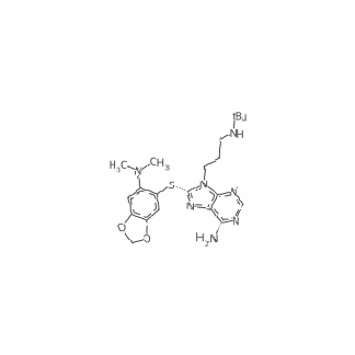 CN(C)c1cc2c(cc1Sc1nc3c(N)ncnc3n1CCCNC(C)(C)C)OCO2